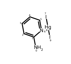 Nc1ccccn1.[I][Hg][I]